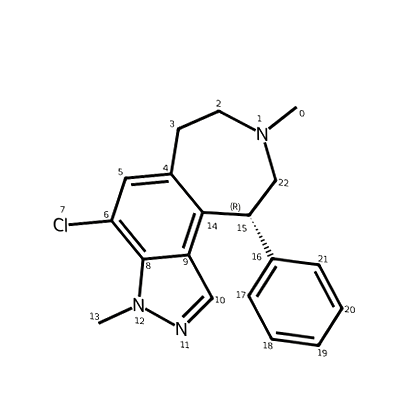 CN1CCc2cc(Cl)c3c(cnn3C)c2[C@@H](c2ccccc2)C1